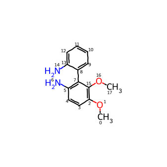 COc1ccc(N)c(-c2ccccc2N)c1OC